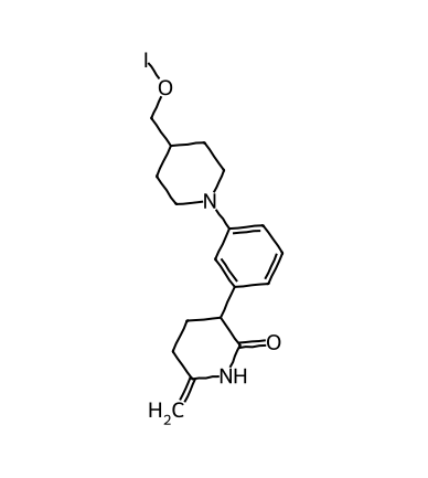 C=C1CCC(c2cccc(N3CCC(COI)CC3)c2)C(=O)N1